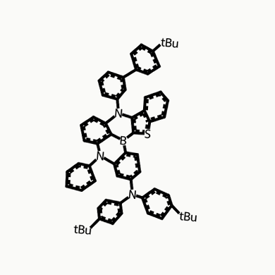 CC(C)(C)c1ccc(-c2cccc(N3c4cccc5c4B(c4ccc(N(c6ccc(C(C)(C)C)cc6)c6ccc(C(C)(C)C)cc6)cc4N5c4ccccc4)c4sc5ccccc5c43)c2)cc1